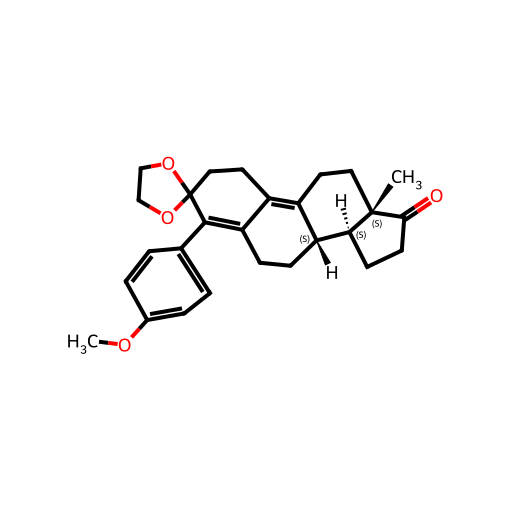 COc1ccc(C2=C3CC[C@@H]4C(=C3CCC23OCCO3)CC[C@]2(C)C(=O)CC[C@@H]42)cc1